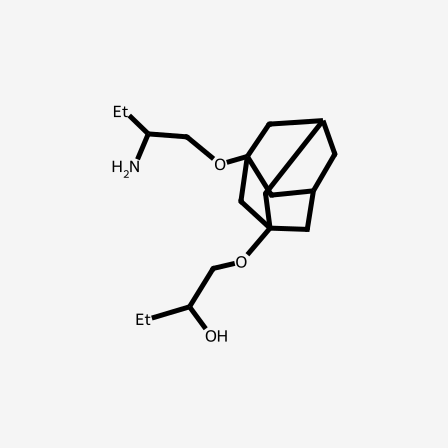 CCC(N)COC12CC3CC(C1)CC(OCC(O)CC)(C3)C2